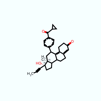 CC#C[C@]1(O)CCC2C3CCC4=CC(=O)CCC4=C3C(c3ccc(C(=O)C4CC4)cc3)C[C@@]21C